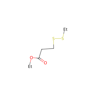 CCOC(=O)CCSSCC